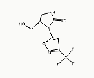 O=C1NCC(CO)N1c1cc(C(F)(F)F)no1